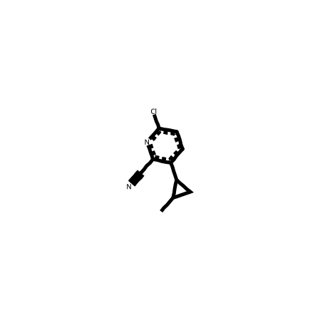 CC1[CH]C1c1ccc(Cl)nc1C#N